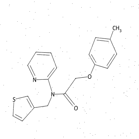 Cc1ccc(OCC(=O)N(Cc2ccsc2)c2ccccn2)cc1